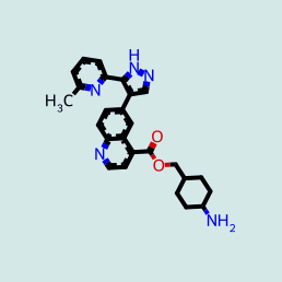 Cc1cccc(-c2[nH]ncc2-c2ccc3nccc(C(=O)OCC4CCC(N)CC4)c3c2)n1